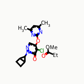 CCC(=O)OC.Cc1cc(C)nc(Oc2cnn(C3C4CCC43)c(=O)c2Cl)n1